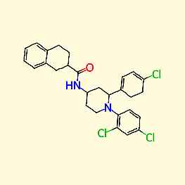 O=C(NC1CCN(c2ccc(Cl)cc2Cl)C(C2=CC=C(Cl)CC2)C1)C1CCc2ccccc2C1